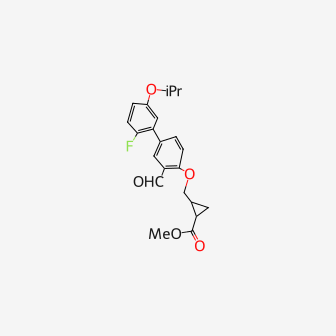 COC(=O)C1CC1COc1ccc(-c2cc(OC(C)C)ccc2F)cc1C=O